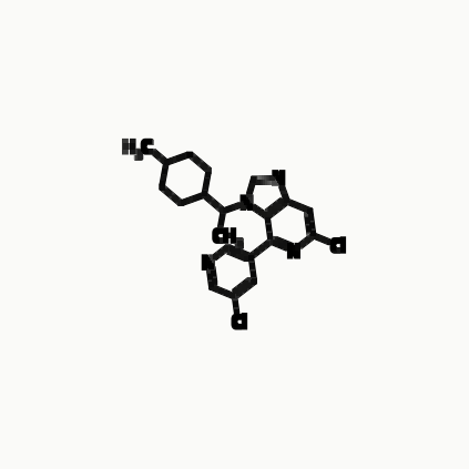 CC1CCC(C(C)n2cnc3cc(Cl)nc(-c4cncc(Cl)c4)c32)CC1